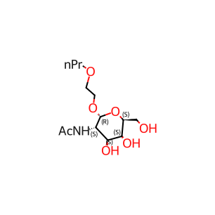 CCCOCCO[C@@H]1O[C@@H](CO)[C@@H](O)[C@@H](O)[C@@H]1NC(C)=O